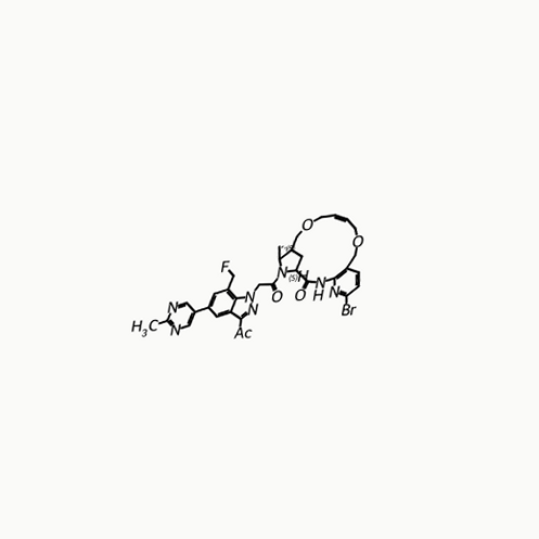 CC(=O)c1nn(CC(=O)N2C3C[C@@]34COCC=CCOCc3ccc(Br)nc3NC(=O)[C@@H]2C4)c2c(CF)cc(-c3cnc(C)nc3)cc12